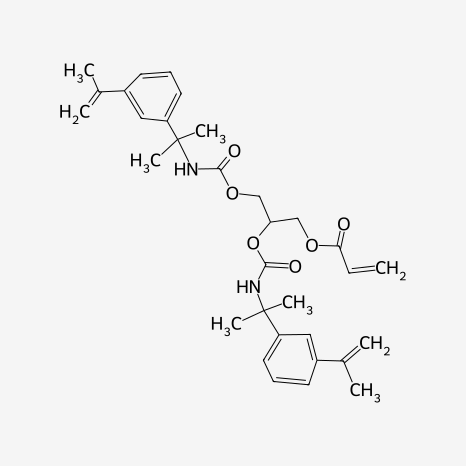 C=CC(=O)OCC(COC(=O)NC(C)(C)c1cccc(C(=C)C)c1)OC(=O)NC(C)(C)c1cccc(C(=C)C)c1